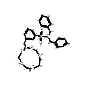 O=S(=O)(c1cccc(CN2CCOCCNCCOCC2)c1)N(Cc1ccccc1)Cc1ccccc1